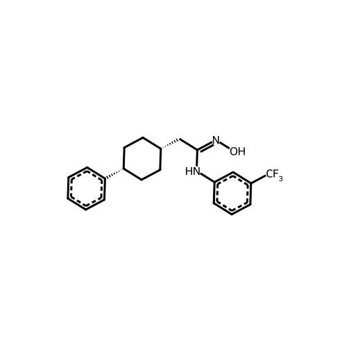 O/N=C(/C[C@H]1CC[C@@H](c2ccccc2)CC1)Nc1cccc(C(F)(F)F)c1